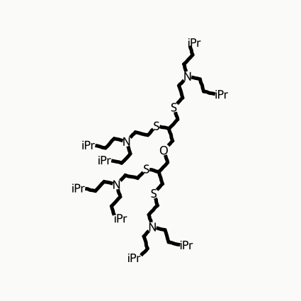 CC(C)CCN(CCSCC(COCC(CSCCN(CCC(C)C)CCC(C)C)SCCN(CCC(C)C)CCC(C)C)SCCN(CCC(C)C)CCC(C)C)CCC(C)C